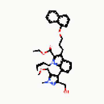 C/C=C\Cn1c(C(=O)OCC)c(CCCOc2cccc3ccccc23)c2cccc(-c3c(CO)nn(C)c3COC)c21